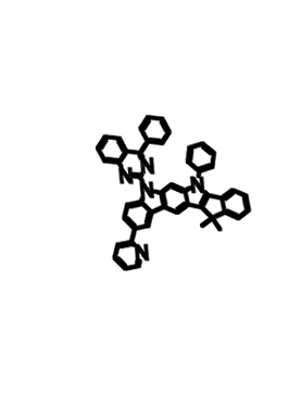 CC1(C)c2ccccc2-c2c1c1cc3c4cc(-c5ccccn5)ccc4n(-c4nc(-c5ccccc5)c5ccccc5n4)c3cc1n2-c1ccccc1